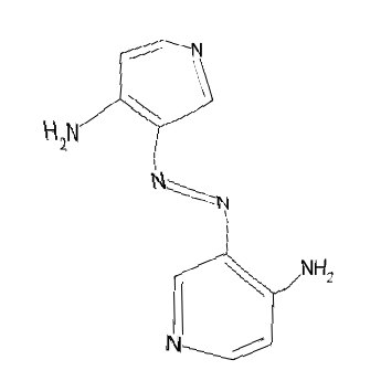 Nc1ccncc1/N=N/c1cnccc1N